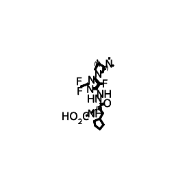 C[C@@H]1CN(c2nc(C(F)F)nc(NNC(=O)[C@@H](CNC(=O)O)CC3CCCC3)c2F)C[C@H]1N(C)C